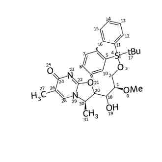 CO[C@H](CO[Si](c1ccccc1)(c1ccccc1)C(C)(C)C)C(O)C1Oc2nc(=O)c(C)cn2[C@@H]1C